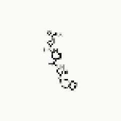 CC(C)(C)C(=O)N1CC(Nc2cc(C(=O)NCC(O)CN3CCc4ccccc4C3)ccn2)C1